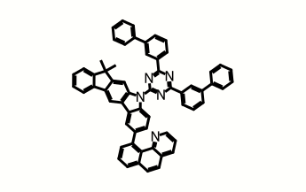 CC1(C)c2ccccc2-c2cc3c4cc(-c5cccc6ccc7cccnc7c56)ccc4n(-c4nc(-c5cccc(-c6ccccc6)c5)nc(-c5cccc(-c6ccccc6)c5)n4)c3cc21